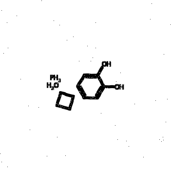 C1CCC1.O.Oc1ccccc1O.P